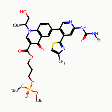 CCNC(=O)Nc1cc(-c2nc(C(F)(F)F)cs2)c(-c2ccc3c(c2)c(=O)c(C(=O)OCCCOP(=O)(OC(C)(C)C)OC(C)(C)C)cn3C(CO)C(C)(C)C)cn1